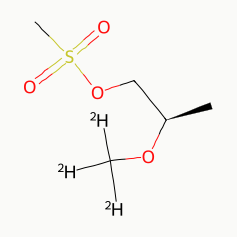 [2H]C([2H])([2H])O[C@H](C)COS(C)(=O)=O